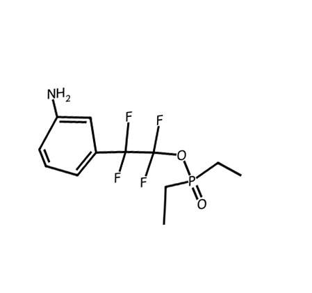 CCP(=O)(CC)OC(F)(F)C(F)(F)c1cccc(N)c1